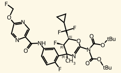 CC(C)(C)OC(=O)N(C(=O)OC(C)(C)C)C1=N[C@](C)(c2cc(NC(=O)c3cnc(OCF)cn3)ccc2F)[C@@H](F)[C@@H](C(F)(F)C2CC2)O1